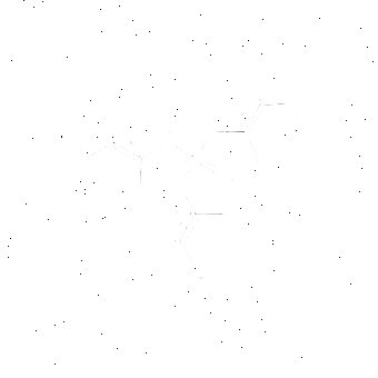 CC/C=C(\CC)OP(=O)(O/C(=C/CC)CC)O/C(=C/CC)CC